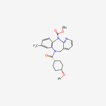 CC(C)O[C@H]1CC[C@H](C(=O)N2Cc3cccnc3N(C(=O)OC(C)(C)C)c3ccc(C(F)(F)F)cc32)CC1